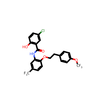 O=C(Nc1cc(C(F)(F)F)ccc1OCCc1ccc(OC(F)(F)F)cc1)c1cc(Cl)ccc1O